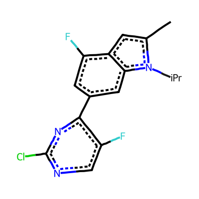 Cc1cc2c(F)cc(-c3nc(Cl)ncc3F)cc2n1C(C)C